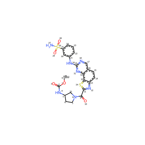 CC(C)(C)OC(=O)NC1CCN(C(=O)c2nc3ccc4cnc(Nc5cccc(S(N)(=O)=O)c5)nc4c3s2)C1